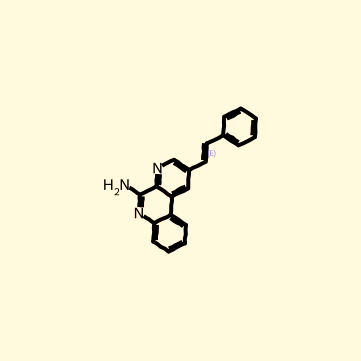 Nc1nc2ccccc2c2cc(/C=C/c3ccccc3)cnc12